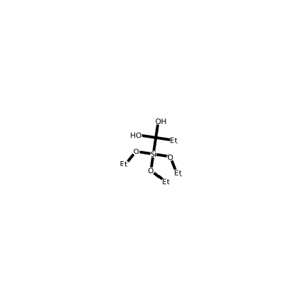 CCO[Si](OCC)(OCC)C(O)(O)CC